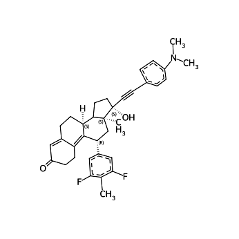 Cc1c(F)cc([C@H]2C[C@@]3(C)C(CC[C@@]3(O)C#Cc3ccc(N(C)C)cc3)[C@@H]3CCC4=CC(=O)CCC4=C32)cc1F